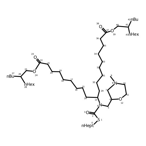 CCCCCCCSC(=O)N(CC1CN(C)CCO1)C(CCCCCCCCC(=O)OCC(CCCC)CCCCCC)CCCCCCCCC(=O)OCC(CCCC)CCCCCC